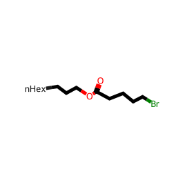 CCCCCCCCCOC(=O)CCCCBr